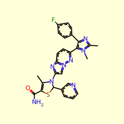 CC1=C(C(N)=O)SC(c2cccnc2)N1c1cn2nc(-c3c(-c4ccc(F)cc4)nc(C)n3C)ccc2n1